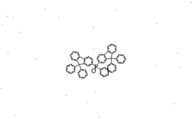 O=P(c1ccccc1)(c1ccc2c(c1)C(c1ccccc1)(c1ccccc1)c1ccccc1-2)c1ccc2c(c1)C(c1ccccc1)(c1ccccc1)c1ccccc1-2